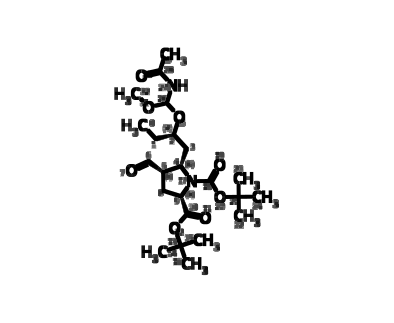 CC[C@H](C[C@@H]1[C@H](C=O)C[C@H](C(=O)OC(C)(C)C)N1C(=O)OC(C)(C)C)OC(NC(C)=O)OC